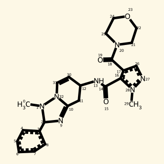 CN1C(c2ccccc2)N=C2CC(NC(=O)c3c(C(=O)N4CCOCC4)cnn3C)C=CN21